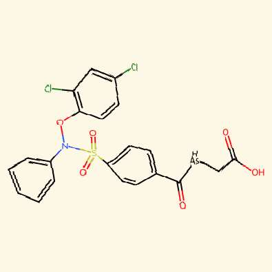 O=C(O)C[AsH]C(=O)c1ccc(S(=O)(=O)N(Oc2ccc(Cl)cc2Cl)c2ccccc2)cc1